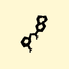 Fc1cccc(CC(F)c2ccc3ccccc3c2)c1